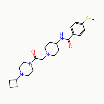 CSc1ccc(C(=O)NC2CCN(CC(=O)N3CCN(C4CCC4)CC3)CC2)cc1